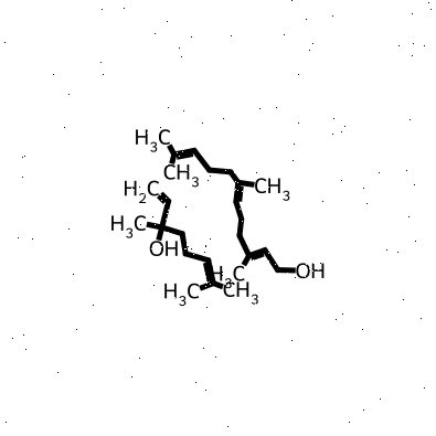 C=CC(C)(O)CCC=C(C)C.CC(C)=CCCC(C)=CCCC(C)=CCO